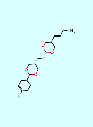 CCC=C[C@H]1CO[C@H](CC[C@H]2CO[C@H](C3CC=C(F)CC3)OC2)OC1